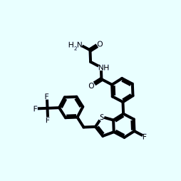 NC(=O)CNC(=O)c1cccc(-c2cc(F)cc3cc(Cc4cccc(C(F)(F)F)c4)sc23)c1